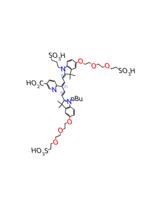 CCCC[N+]1=C(/C=C/C(=C/C=C2/N(CCCS(=O)(=O)O)c3ccc(OCCOCCOCCS(=O)(=O)O)cc3C2(C)C)c2ccc(C(=O)O)cn2)C(C)(C)c2cc(OCCOCCOCCS(=O)(=O)O)ccc21